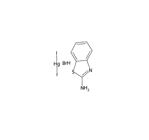 Br.Nc1nc2ccccc2s1.[I][Hg][I]